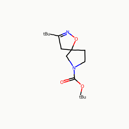 CC(C)(C)OC(=O)N1CCC2(CC(C(C)(C)C)=NO2)C1